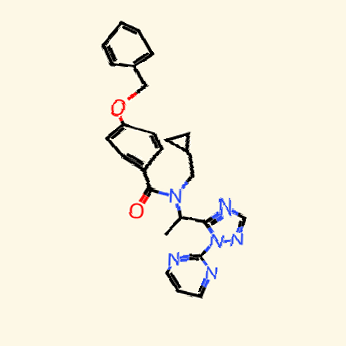 CC(c1ncnn1-c1ncccn1)N(CC1CC1)C(=O)c1ccc(OCc2ccccc2)cc1